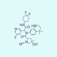 CC1(O)CC(C(=O)N(c2ccc3c(c2)NCCC3(C)C)C(C(=O)NC2CCC(F)(F)CC2)c2cncc(F)c2)N(C#N)C1